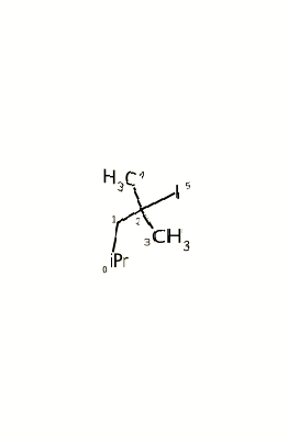 CC(C)CC(C)(C)I